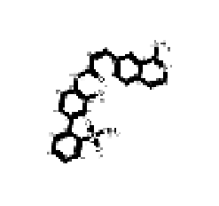 Nc1nccc2ccc(/C=C\C(=O)Nc3ccc(-c4ccccc4S(N)(=O)=O)cc3Br)cc12